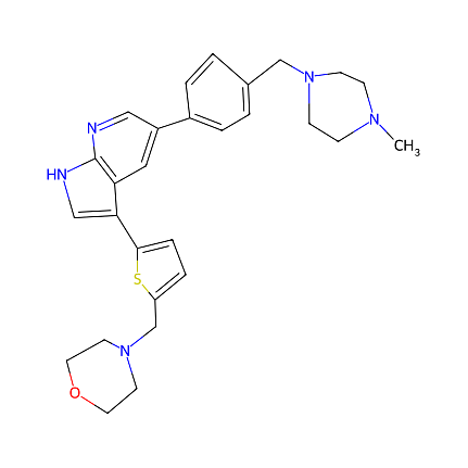 CN1CCN(Cc2ccc(-c3cnc4[nH]cc(-c5ccc(CN6CCOCC6)s5)c4c3)cc2)CC1